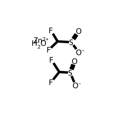 O.O=S([O-])C(F)F.O=S([O-])C(F)F.[Zn+2]